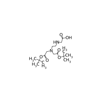 CC(C)(C)OC(=O)CN(CCNCC(=O)O)CC(=O)OC(C)(C)C